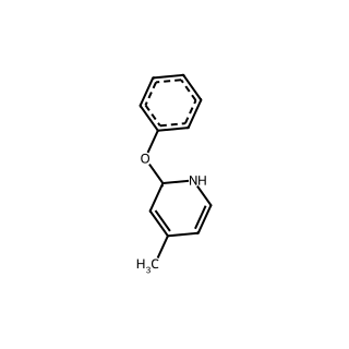 CC1=C[C](Oc2ccccc2)NC=C1